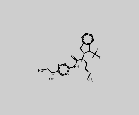 CSCC[C@@H](C(=O)Nc1cnc([C@H](O)CO)cn1)N1Cc2ccccc2C1C(F)(F)F